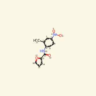 Cc1cc([N+](=O)[O-])ccc1NC(=O)c1ccco1